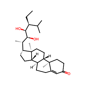 CC[C@@H](C(C)C)[C@H](O)[C@@H](O)[C@@H](C)[C@H]1CC[C@H]2[C@@H]3CCC4=CC(=O)CC[C@]4(C)[C@H]3CC[C@]12C